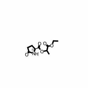 CCOC(=O)C(C)OC(=O)[C@@H]1CCC(=O)N1